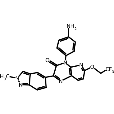 Cn1cc2cc(-c3nc4ccc(OCC(F)(F)F)nc4n(-c4ccc(N)cc4)c3=O)ccc2n1